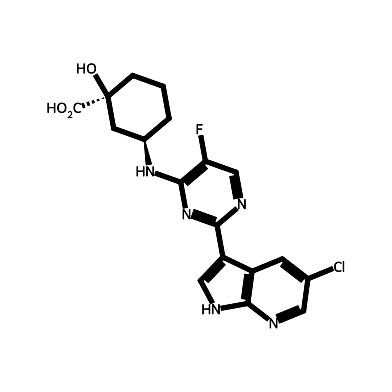 O=C(O)[C@]1(O)CCC[C@@H](Nc2nc(-c3c[nH]c4ncc(Cl)cc34)ncc2F)C1